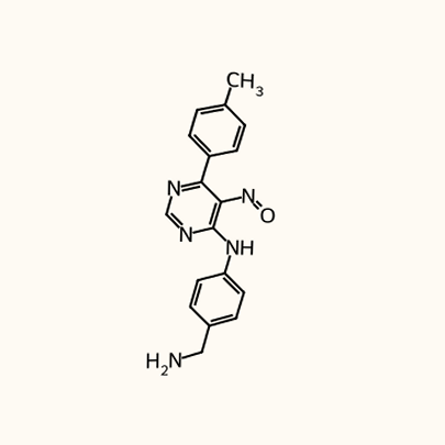 Cc1ccc(-c2ncnc(Nc3ccc(CN)cc3)c2N=O)cc1